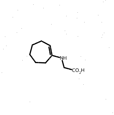 O=C(O)CNC1=CCCCCC1